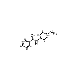 O=C(NC1CCN(SF)CC1)c1ccccc1